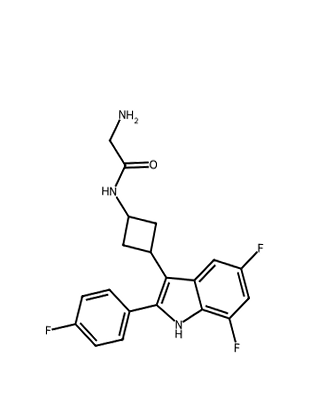 NCC(=O)NC1CC(c2c(-c3ccc(F)cc3)[nH]c3c(F)cc(F)cc23)C1